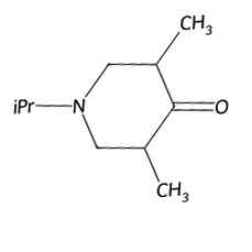 CC1CN(C(C)C)CC(C)C1=O